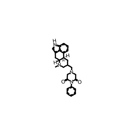 CN1CC(CN2CC(=O)N(c3ccccc3)C(=O)C2)C[C@@H]2c3cccc4[nH]cc(c34)C[C@H]21